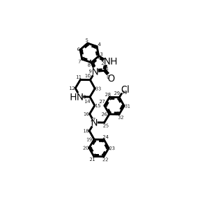 O=c1[nH]c2ccccc2n1C1CCNC(CCN(Cc2ccccc2)Cc2ccc(Cl)cc2)C1